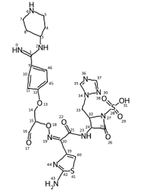 N=C(NC1CCNCC1)c1ccc(OCC(C=O)O/N=C(\C(=O)NC2C(=O)N(S(=O)(=O)O)C2Cn2cncn2)c2csc(N)n2)cc1